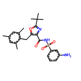 Cc1cc(C)c(Cc2oc(C(C)(C)C)nc2C(=O)NS(=O)(=O)c2cccc(N)c2)c(C)c1